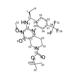 CC[C@H](Nc1nc2c(c(=O)n1OC)CN(C(=O)OC(C)(C)C)CC2)c1ccc(C(F)(F)F)cc1